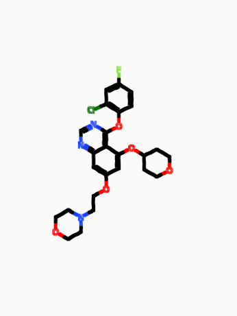 Fc1ccc(Oc2ncnc3cc(OCCN4CCOCC4)cc(OC4CCOCC4)c23)c(Cl)c1